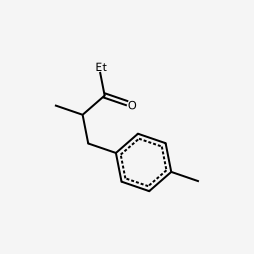 CCC(=O)C(C)Cc1ccc(C)cc1